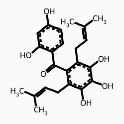 CC(C)=CCc1c(O)c(O)c(O)c(CC=C(C)C)c1C(=O)c1ccc(O)cc1O